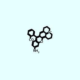 Nc1ccc2c(c1)Oc1c3c4c(cc1=C2c1ccccc1C(=O)O)CCC[N+]=4CCC3